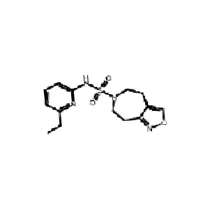 CCc1cccc(NS(=O)(=O)N2CCc3conc3CC2)n1